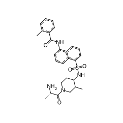 Cc1ccccc1C(=O)Nc1cccc2c(S(=O)(=O)NC3CCN(C(=O)[C@H](C)N)CC3C)cccc12